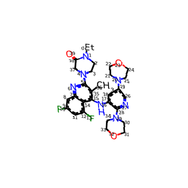 CCN1CCN(c2nc3cc(F)cc(F)c3c(Nc3cc(N4CCOCC4)cnc3N3CCOCC3)c2C)CC1=O